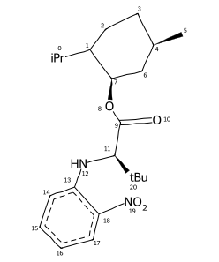 CC(C)C1CC[C@@H](C)C[C@H]1OC(=O)[C@H](Nc1ccccc1[N+](=O)[O-])C(C)(C)C